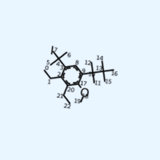 CCc1c(C(C)(C)I)cc(C(C)(C)C(C)(C)C)c(OC)c1CC